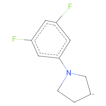 Fc1cc(F)cc(N2C[CH]CC2)c1